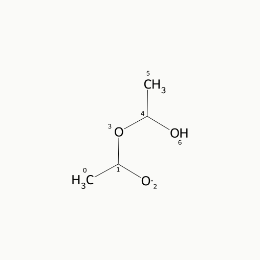 CC([O])OC(C)O